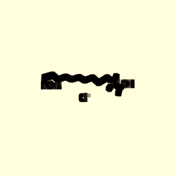 CCCCCCCC/C=C\CCCCCCCC[N+](C)(C)C(C)O.[Cl-]